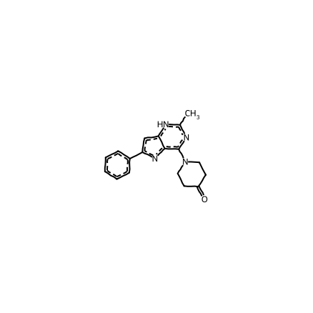 Cc1nc(N2CCC(=O)CC2)c2nc(-c3ccccc3)cc-2[nH]1